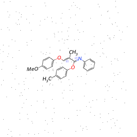 COc1ccc(O/C=C(C)/C(=N/c2ccccc2)Oc2ccc(C)cc2)cc1